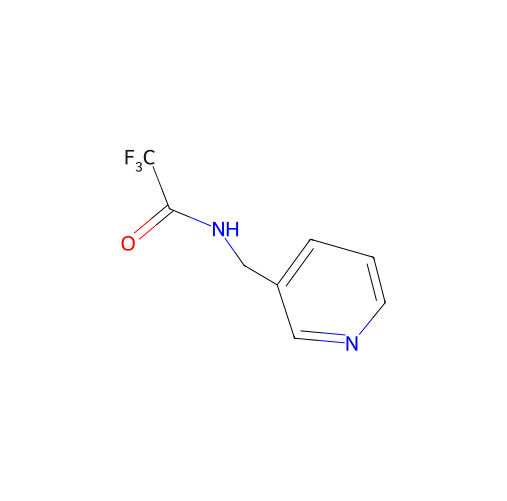 O=C(NCc1cccnc1)C(F)(F)F